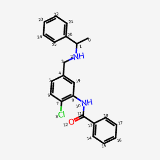 CC(NCc1ccc(Cl)c(NC(=O)c2ccccc2)c1)c1ccccc1